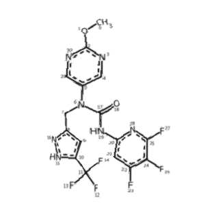 COc1ncc(N(Cc2cc(C(F)(F)F)[nH]n2)C(=O)Nc2cc(F)c(F)c(F)n2)cn1